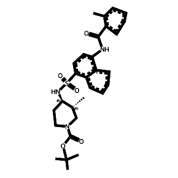 Cc1ccccc1C(=O)Nc1ccc(S(=O)(=O)N[C@@H]2CCN(C(=O)OC(C)(C)C)C[C@H]2C)c2ccccc12